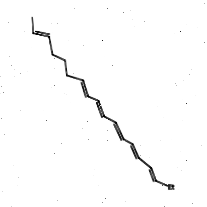 CC=CCCCC=CC=CC=CC=CC=CCC